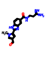 Cn1cc(C=O)cc1-c1nc2cc(C(=O)NCCC(=N)N)ccc2[nH]1